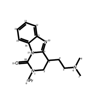 CCCN1CC(CCN(C)C)c2nc3ccccc3n2C1=O